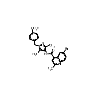 Cc1nn(Cc2ccc(C(=O)O)cc2)c(C)c1NC(=O)c1cc(C(F)(F)F)nc2ccc(Br)cc12